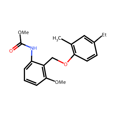 CCc1ccc(OCc2c(NC(=O)OC)cccc2OC)c(C)c1